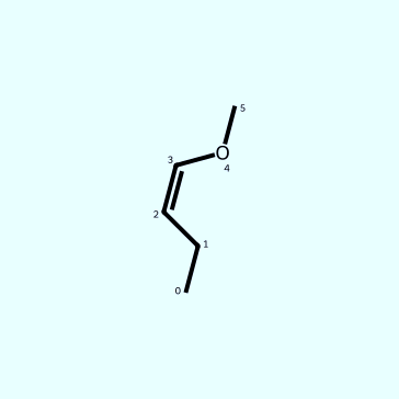 CC/C=C\OC